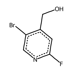 OCc1cc(F)ncc1Br